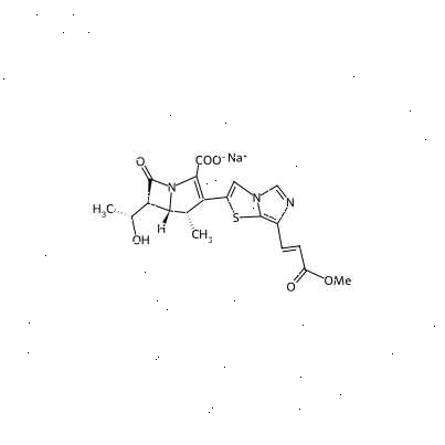 COC(=O)/C=C/c1ncn2cc(C3=C(C(=O)[O-])N4C(=O)[C@H]([C@@H](C)O)[C@H]4[C@H]3C)sc12.[Na+]